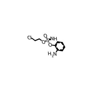 N=S(=O)(OCCCl)Oc1ccccc1N